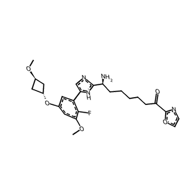 COc1cc(O[C@H]2C[C@H](OC)C2)cc(-c2cnc([C@@H](N)CCCCCC(=O)c3ncco3)[nH]2)c1F